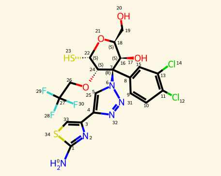 Nc1nc(-c2cn([C@]3(c4ccc(Cl)c(Cl)c4)[C@H](O)[C@H](CO)O[C@@H](S)[C@H]3OCC(F)(F)F)nn2)cs1